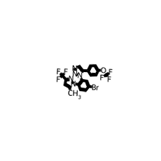 Cc1cc(C(F)(F)F)nn1-c1ccc(Br)cc1-n1nncc1-c1ccc(OC(F)(F)F)cc1